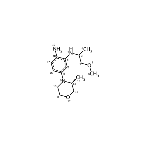 COCC(C)Nc1cc(N2CCOC[C@@H]2C)ccc1N